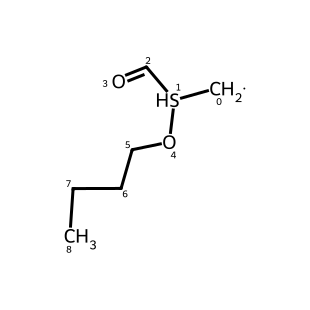 [CH2][SH](C=O)OCCCC